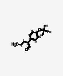 CCCC(C=O)c1ccc(OC(F)(F)F)cc1